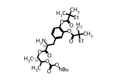 CCCCOC(=O)OC(C)[C@H](C)OC(=O)[C@@H](N)Cc1ccc(OC(=O)C(C)(C)CC)c(OC(=O)C(C)(C)CC)c1